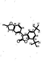 CC1Cc2cc(C3C(=O)Oc4c3cc(C(C)(C)C)cc4C(C)(C)C)ccc2O1